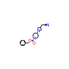 N#CCC1CN(C2CCN(C(=O)OCc3ccccc3)CC2)C1